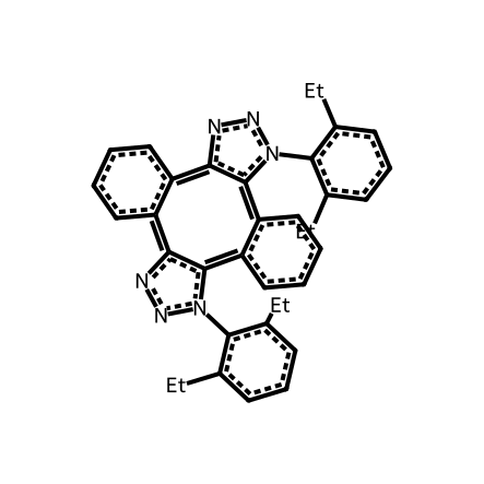 CCc1cccc(CC)c1-n1nnc2/c1=c1/cccc/c1=c1/c(nnn1-c1c(CC)cccc1CC)=c1/cccc/c1=2